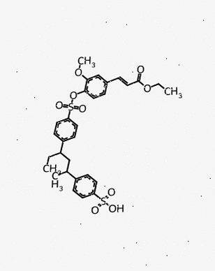 CCOC(=O)/C=C/c1ccc(OS(=O)(=O)c2ccc(C(CC)CC(C)c3ccc(S(=O)(=O)O)cc3)cc2)c(OC)c1